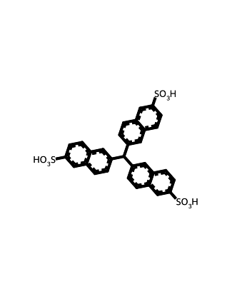 O=S(=O)(O)c1ccc2cc(C(c3ccc4cc(S(=O)(=O)O)ccc4c3)c3ccc4cc(S(=O)(=O)O)ccc4c3)ccc2c1